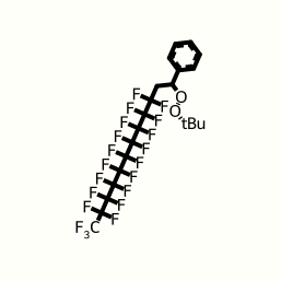 CC(C)(C)OOC(CC(F)(F)C(F)(F)C(F)(F)C(F)(F)C(F)(F)C(F)(F)C(F)(F)C(F)(F)C(F)(F)C(F)(F)F)c1ccccc1